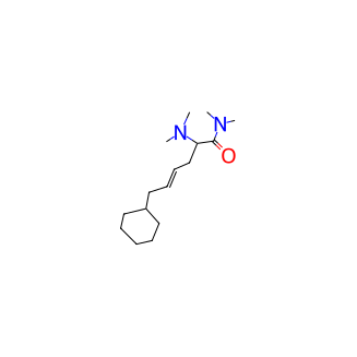 CN(C)C(=O)C(CC=CCC1CCCCC1)N(C)C